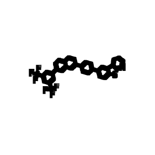 FC(F)(F)c1cc(-c2ccc3ccc(-c4ccc(-c5ccc6sc7ncccc7c6c5)cc4)cc3c2)cc(C(F)(F)F)c1